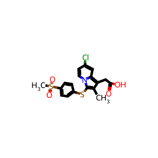 Cc1c(CC(=O)O)c2cc(Cl)ccn2c1Sc1ccc(S(C)(=O)=O)cc1